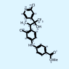 COC(=O)c1ccc(Nc2ccc(C(C)C(O)(c3ccnc(Cl)c3)C(F)(F)F)c(Cl)c2)cc1